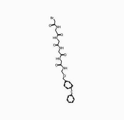 O=C(CBr)NCC(=O)NCC(=O)NCC(=O)NCC(=O)NCOCc1ccc(Cc2ccccc2)cc1